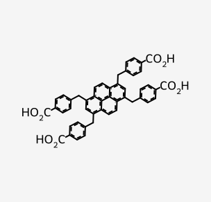 O=C(O)c1ccc(Cc2cc(Cc3ccc(C(=O)O)cc3)c3ccc4c(Cc5ccc(C(=O)O)cc5)cc(Cc5ccc(C(=O)O)cc5)c5ccc2c3c54)cc1